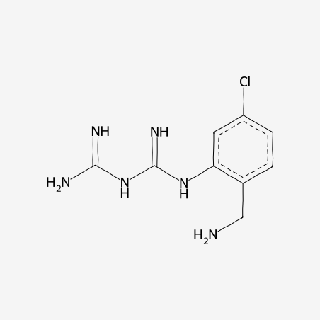 N=C(N)NC(=N)Nc1cc(Cl)ccc1CN